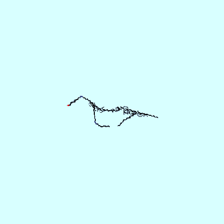 CCCCCCCC/C=C\CCCCCCC(O)CN(CCCCCSSCCCCCN1CCN(CCOC(=O)CCCN(CC(O)CCCCCCCCCC)CC(O)CCCCCCCCCC)CC1)CC(O)CCCCCC/C=C\CCCCCCCC